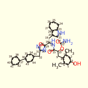 Cc1cc(O)cc(C)c1CC(OC(N)=O)C(=O)N[C@@H](Cc1c[nH]c2ccccc12)c1nc(Cc2ccc(-c3ccccc3)cc2)no1